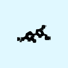 Nc1ccn([C@@H]2C[S+]([O-])[C@H](CO)O2)c(=O)n1